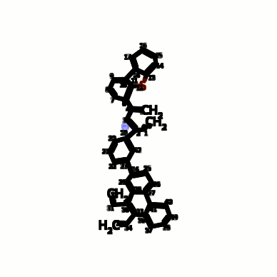 C=C/C(=C\C(=C)c1cccc2c1sc1ccccc12)c1cccc(-c2ccc3c(c2)c(C=C)c(C=C)c2ccccc23)c1